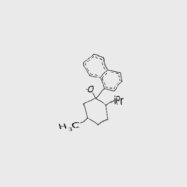 CC1CCC(C(C)C)C([O])(c2cccc3ccccc23)C1